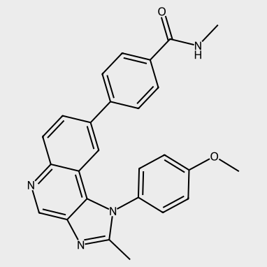 CNC(=O)c1ccc(-c2ccc3ncc4nc(C)n(-c5ccc(OC)cc5)c4c3c2)cc1